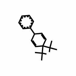 CC(C)(C)C1(C(C)(C)C)C=CC(c2ccccc2)C=C1